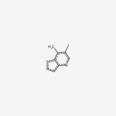 Cc1c(I)cnc2ccsc12